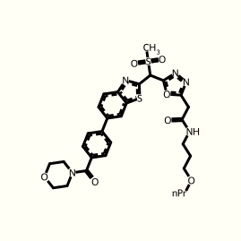 CCCOCCCNC(=O)Cc1nnc(C(c2nc3ccc(-c4ccc(C(=O)N5CCOCC5)cc4)cc3s2)S(C)(=O)=O)o1